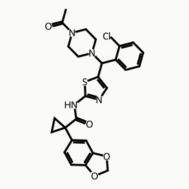 CC(=O)N1CCN(C(c2cnc(NC(=O)C3(c4ccc5c(c4)OCO5)CC3)s2)c2ccccc2Cl)CC1